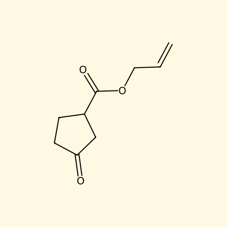 C=CCOC(=O)C1CCC(=O)C1